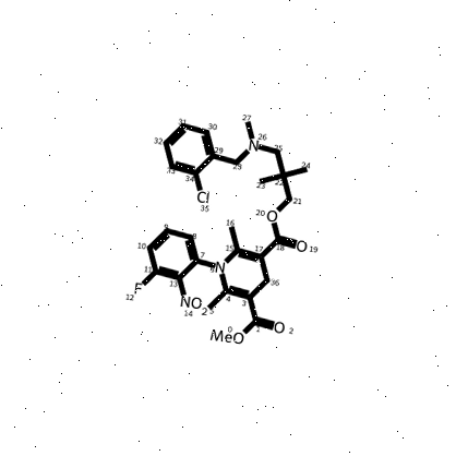 COC(=O)C1=C(C)N(c2cccc(F)c2[N+](=O)[O-])C(C)=C(C(=O)OCC(C)(C)CN(C)Cc2ccccc2Cl)C1